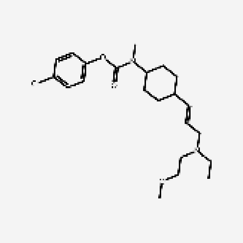 CCN(C/C=C/C1CCC(N(C)C(=O)Oc2ccc(Cl)cc2)CC1)CCOC